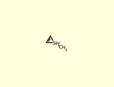 C[SiH]1C=C1